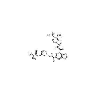 Cc1c(C(=O)O)ccc2c1CC[C@@H]2NC(=O)c1cc(C(=O)NCc2cccc(CNC(=N)N)c2)nc2ncnn12